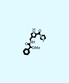 COC(C(=O)NCC1CNC(C(=O)N2CCSC2)C1)c1ccccc1